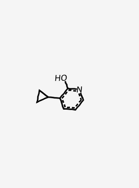 Oc1ncccc1C1CC1